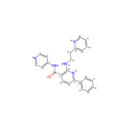 O=C(Nc1ccncc1)c1ccc(-c2ccccc2)nc1NCCc1ccccn1